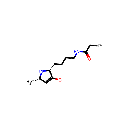 CC(C)CC(=O)NCCCC[C@H]1N[C@@H](C)C=C1O